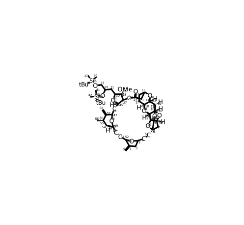 C=C1CC2CC[C@@]34C[C@H]5O[C@H]6[C@@H](O3)[C@H]3OC(CC[C@@H]3O[C@H]6[C@H]5O4)CC(=O)CC3[C@@H](OC)C(CC(CO[Si](C)(C)C(C)(C)C)O[Si](C)(C)C(C)(C)C)O[C@H]3CC3O[C@@H](CCC1O2)C[C@@H](C)C3=C